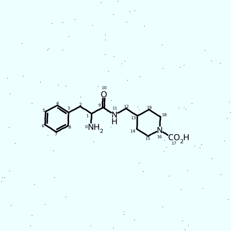 NC(Cc1ccccc1)C(=O)NCC1CCN(C(=O)O)CC1